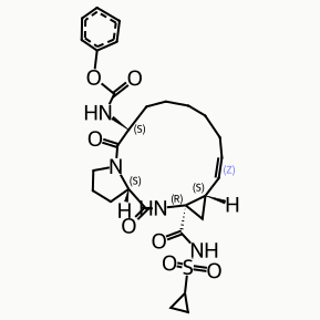 O=C(N[C@H]1CCCCC/C=C\[C@@H]2C[C@@]2(C(=O)NS(=O)(=O)C2CC2)NC(=O)[C@@H]2CCCN2C1=O)Oc1ccccc1